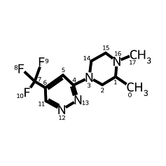 CC1CN(c2cc(C(F)(F)F)cnn2)CCN1C